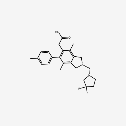 Cc1ccc(-c2c(C)c3c(c(C)c2CC(=O)O)CN(SN2CCC(F)(F)C2)C3)cc1